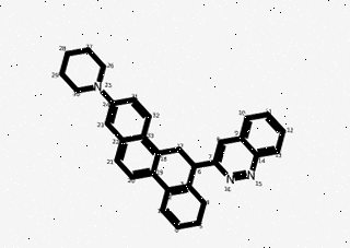 C1=CC2=C(CC1)C(c1cc3ccccc3nn1)Cc1c2ccc2cc(N3CCCCC3)ccc12